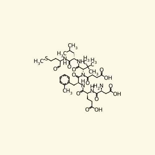 CSCCC(C=O)NC(=O)[C@H](CC(C)C)NC(=O)[C@@H](N(C(=O)CCC(=O)O)C(=O)[C@H](Cc1ccccc1C)NC(=O)[C@H](CCC(=O)O)NC(=O)[C@@H](N)CC(=O)O)C(C)(C)C